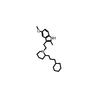 COc1ccc2[nH]c(C)c(CCN3CCCCC3CCCC3CCCCC3)c2c1